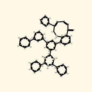 C=C1/C=C\C=C(\c2ccccc2)COc2c1cccc2-c1cc(-c2cccc(-c3ccccc3)c2)cc(-c2nc(-c3ccccc3)nc(-c3ccccc3)n2)c1